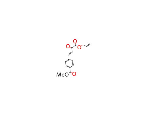 C=CCOC(=O)C(=O)C=Cc1ccc(C(=O)OC)cc1